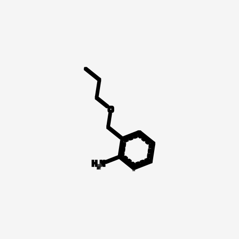 CCCOCc1ccc[c]c1N